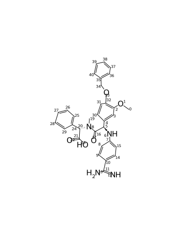 COc1cc([C@@H](Nc2ccc(C(=N)N)cc2)C(=O)N(C)[C@H](C(=O)O)c2ccccc2)ccc1OCc1ccccc1